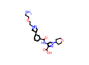 NCCOCCn1cc(-c2cccc(C(=O)Nc3cn(C4CCOCC4)nc3C(=O)O)c2)cn1